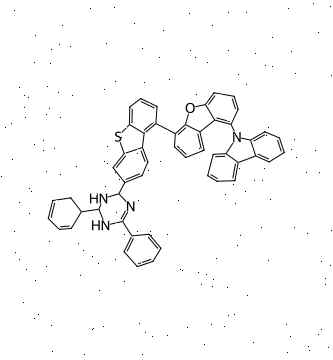 C1=CCC(C2NC(c3ccccc3)=NC(c3ccc4c(c3)sc3cccc(-c5cccc6c5oc5cccc(-n7c8ccccc8c8ccccc87)c56)c34)N2)C=C1